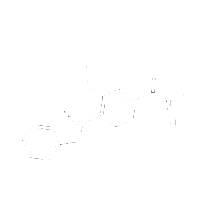 COc1cc(C(=O)N(C)C)ccc1-c1nc2ccccc2o1